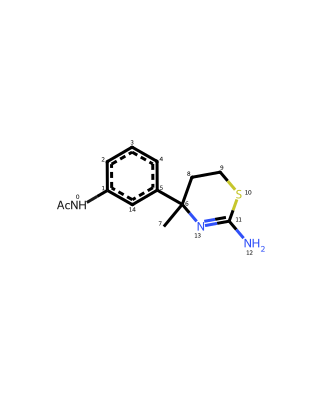 CC(=O)Nc1cccc(C2(C)CCSC(N)=N2)c1